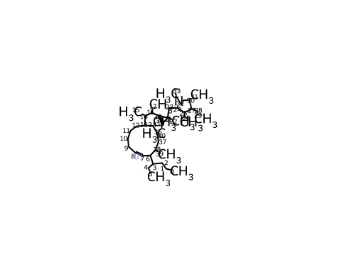 CCCC(CC)C1/C=C\CCCCC(C(C)C(C)C2=C(C)C2(C)CC2C(C)C(CC)C(C)N2C)C(C)CCC1C